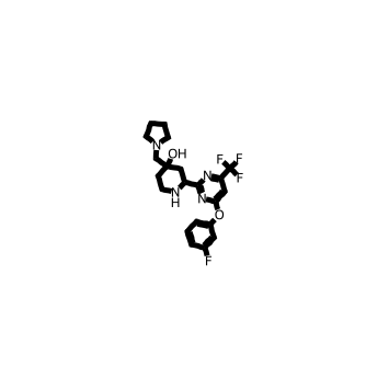 OC1(CN2CCCC2)CCNC(c2nc(Oc3cccc(F)c3)cc(C(F)(F)F)n2)C1